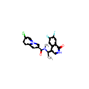 CC(c1c[nH]c(=O)c2cc(F)c(F)cc12)N(C)C(=O)c1cc2ccc(Cl)cn2c1